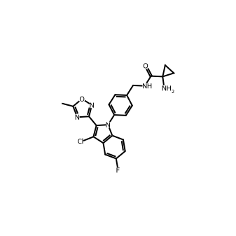 Cc1nc(-c2c(Cl)c3cc(F)ccc3n2-c2ccc(CNC(=O)C3(N)CC3)cc2)no1